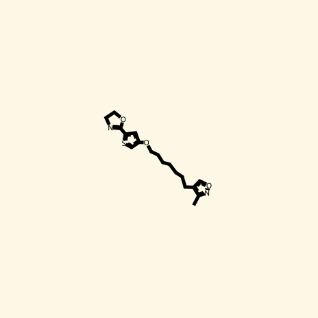 Cc1nocc1CCCCCCCOc1csc(C2=NCCO2)c1